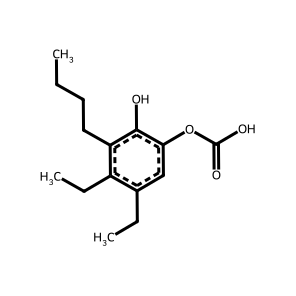 CCCCc1c(O)c(OC(=O)O)cc(CC)c1CC